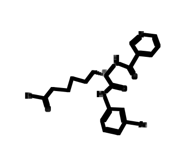 CCC(=O)CCCCC[C@H](NC(=O)c1cccnc1)C(=O)Nc1cccc(C(C)=O)c1